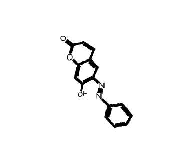 O=c1ccc2cc(N=Nc3ccccc3)c(O)cc2o1